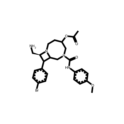 COc1ccc(NC(=O)N2CC(OC(C)=O)CCN3C(C2)C(c2ccc(Br)cc2)[C@H]3CN)cc1